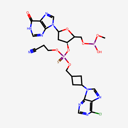 COP(O)OCC1OC(n2cnc3c(=O)[nH]cnc32)C[C@@H]1OP(=S)(OCCC#N)OCC1CC(n2cnc3c(Cl)ncnc32)C1